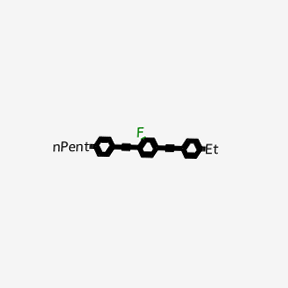 CCCCCc1ccc(C#Cc2ccc(C#Cc3ccc(CC)cc3)cc2F)cc1